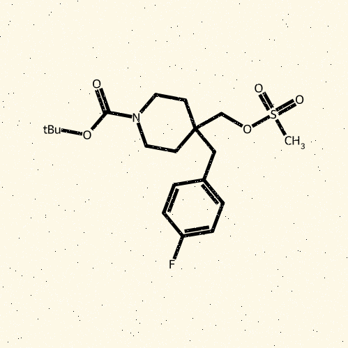 CC(C)(C)OC(=O)N1CCC(COS(C)(=O)=O)(Cc2ccc(F)cc2)CC1